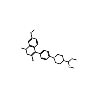 COc1ccc2c(c1)C(C)CC(Br)=C2c1ccc(N2CCC(C(OC)OC)CC2)cc1